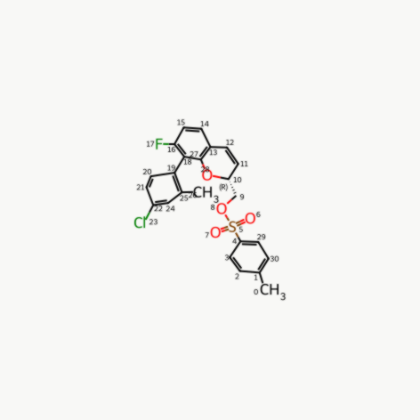 Cc1ccc(S(=O)(=O)OC[C@H]2C=Cc3ccc(F)c(-c4ccc(Cl)cc4C)c3O2)cc1